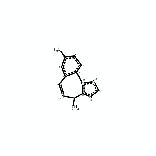 CC1N=Cc2cc(C(F)(F)F)ccc2-n2ncnc21